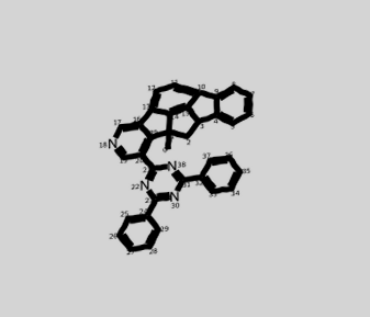 CC12CC3c4ccccc4-c4ccc(c1c43)-c1cncc(-c3nc(-c4ccccc4)nc(-c4ccccc4)n3)c12